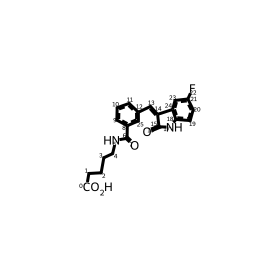 O=C(O)CCCCNC(=O)c1cccc(C=C2C(=O)Nc3ccc(F)cc32)c1